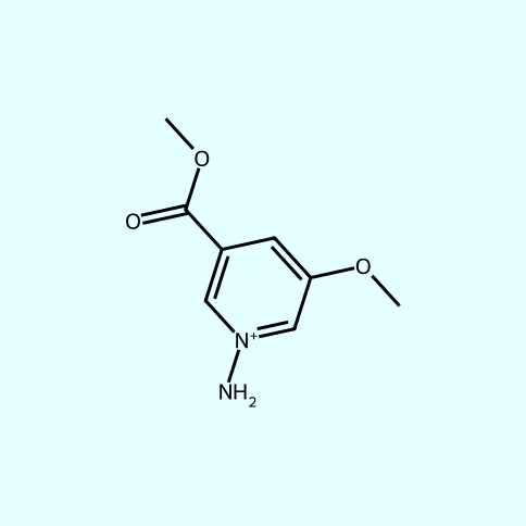 COC(=O)c1cc(OC)c[n+](N)c1